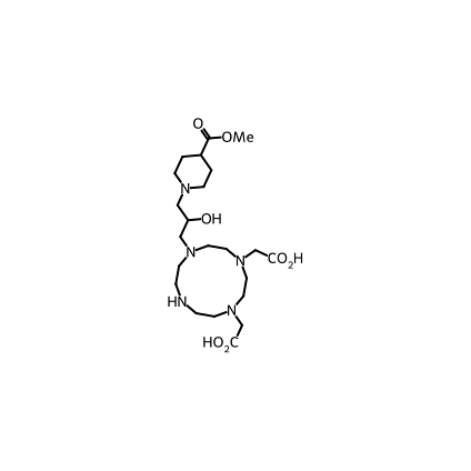 COC(=O)C1CCN(CC(O)CN2CCNCCN(CC(=O)O)CCN(CC(=O)O)CC2)CC1